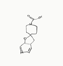 O=C(O)N1CCC2(CC1)Cc1ccncc1O2